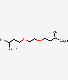 CCOC(=O)C(C#N)CCOCCOCCC(C#N)C(=O)OCC